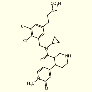 Cn1ccc(C2CCNCC2C(=O)N(Cc2cc(CCNC(=O)O)cc(Cl)c2Cl)C2CC2)cc1=O